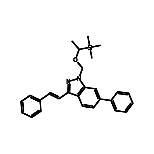 CC(OCn1nc(C=Cc2ccccc2)c2ccc(-c3ccccc3)cc21)[Si](C)(C)C